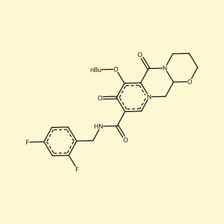 CCCCOc1c2n(cc(C(=O)NCc3ccc(F)cc3F)c1=O)CC1OCCCN1C2=O